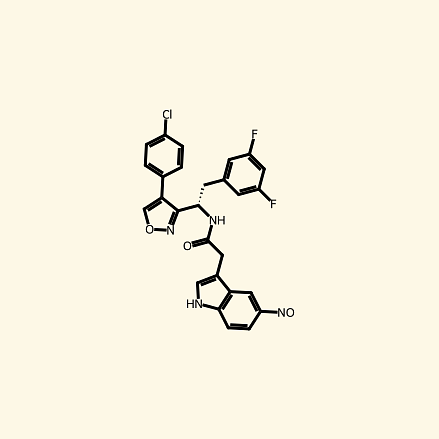 O=Nc1ccc2[nH]cc(CC(=O)N[C@@H](Cc3cc(F)cc(F)c3)c3nocc3-c3ccc(Cl)cc3)c2c1